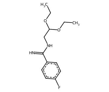 CCOC(CNC(=N)c1ccc(F)cc1)OCC